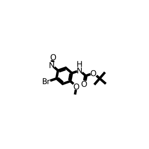 COc1cc(Br)c(N=O)cc1NC(=O)OC(C)(C)C